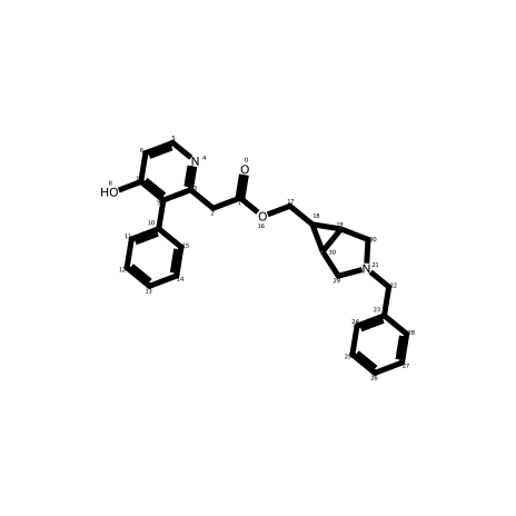 O=C(Cc1nccc(O)c1-c1ccccc1)OCC1C2CN(Cc3ccccc3)CC12